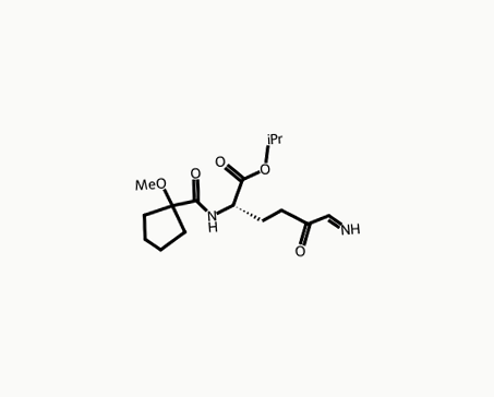 COC1(C(=O)N[C@@H](CCC(=O)C=N)C(=O)OC(C)C)CCCC1